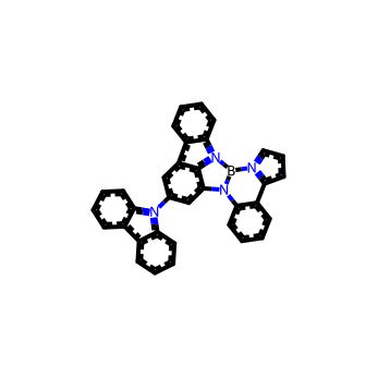 c1ccc2c(c1)-c1cccn1B1N2c2cc(-n3c4ccccc4c4ccccc43)cc3c4ccccc4n1c23